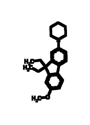 CCC1(CC)c2cc(OC)ccc2-c2ccc(N3CCCCC3)cc21